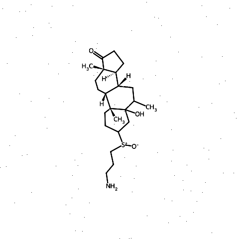 CC1C[C@@H]2[C@@H](CC[C@]3(C)C(=O)CC[C@@H]23)[C@@]2(C)CCC([S+]([O-])CCCN)CC12O